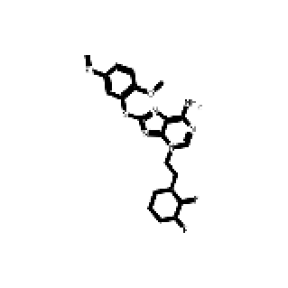 COc1ccc(OC)c(Sc2nc3c(N)ncn(CCC4CCCC(F)C4F)c-3n2)c1